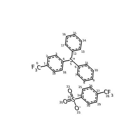 FC(F)(F)c1ccc([S+](c2ccccc2)c2ccccc2)cc1.O=S(=O)([O-])c1ccc(C(F)(F)F)cc1